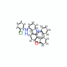 Clc1ccccc1Nc1cccc2c1c1ccc3oc4ccccc4c3c1n2-c1ccccc1